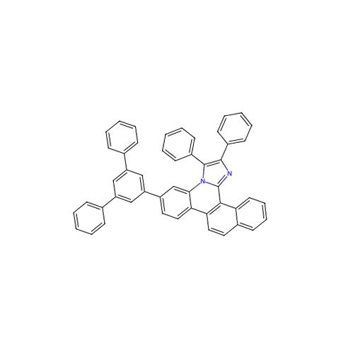 c1ccc(-c2cc(-c3ccccc3)cc(-c3ccc4c5ccc6ccccc6c5c5nc(-c6ccccc6)c(-c6ccccc6)n5c4c3)c2)cc1